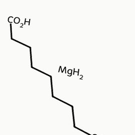 O=C(O)CCCCCCCC(=O)O.[MgH2]